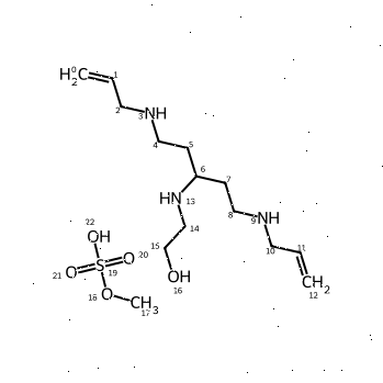 C=CCNCCC(CCNCC=C)NCCO.COS(=O)(=O)O